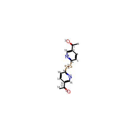 CC(=O)c1ccc(SSc2ccc(C(C)=O)cn2)nc1